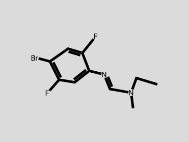 CCN(C)C=Nc1cc(F)c(Br)cc1F